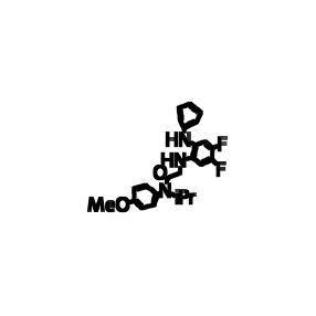 COc1ccc(N(C(=O)CNc2cc(F)c(F)cc2Nc2ccccc2)C(C)C)cc1